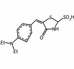 CCN(CC)c1ccc(C=C2SC(S(=O)(=O)O)NC2=O)cc1